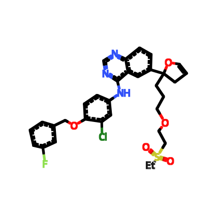 CCS(=O)(=O)CCOCCCC1(c2ccc3ncnc(Nc4ccc(OCc5cccc(F)c5)c(Cl)c4)c3c2)CC=CO1